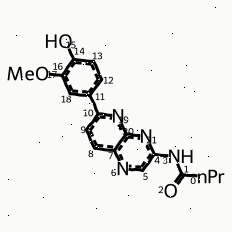 CCCC(=O)Nc1cnc2ccc(-c3ccc(O)c(OC)c3)nc2n1